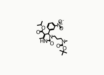 CC1=C(C(=O)OC(C)C)C(c2cccc([N+](=O)[O-])c2)N(CCCN(C)C(=O)OC(C)(C)C)C(=O)N1